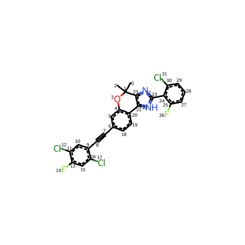 CC1(C)Oc2cc(C#Cc3cc(Cl)c(F)cc3Cl)ccc2-c2[nH]c(-c3c(F)cccc3Cl)nc21